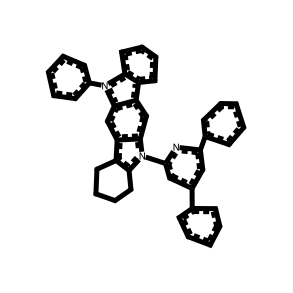 c1ccc(-c2cc(-c3ccccc3)nc(-n3c4c(c5cc6c(cc53)c3ccccc3n6-c3ccccc3)CCCC4)c2)cc1